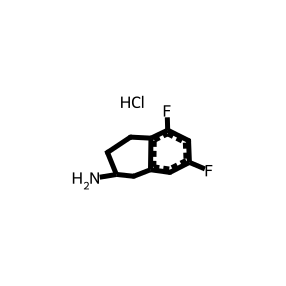 Cl.NC1CCc2c(F)cc(F)cc2C1